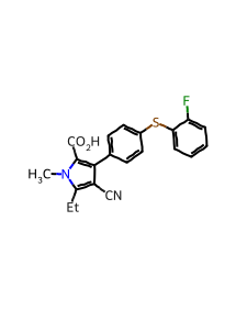 CCc1c(C#N)c(-c2ccc(Sc3ccccc3F)cc2)c(C(=O)O)n1C